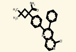 CC1(C)CC(C(N)=O)(c2ccc(-c3nc4ccnc(Cl)c4cc3-c3ccccc3)cc2)C1